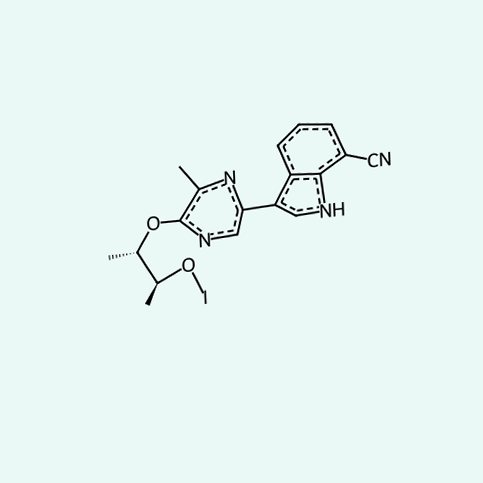 Cc1nc(-c2c[nH]c3c(C#N)cccc23)cnc1O[C@@H](C)[C@H](C)OI